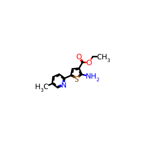 CCOC(=O)c1cc(-c2ccc(C)cn2)sc1N